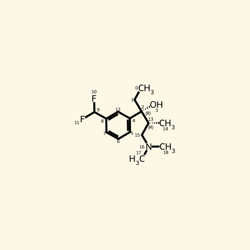 CC[C@](O)(c1cccc(C(F)F)c1)[C@H](C)CN(C)C